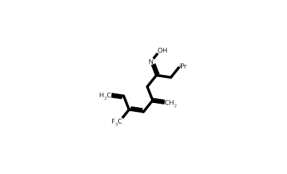 C=C/C(=C\C(=C)C/C(CC(C)C)=N/O)C(F)(F)F